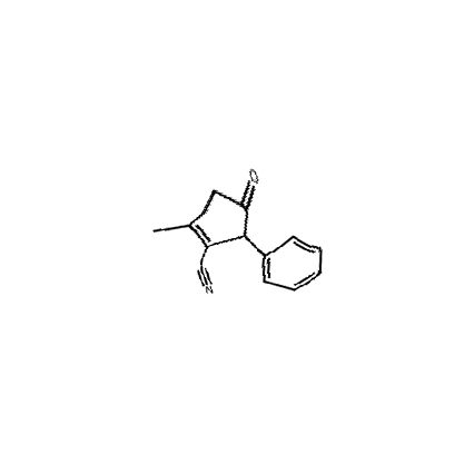 CC1=C(C#N)C(c2ccccc2)C(=O)C1